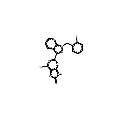 Nc1nc(-c2nn(Cc3ccccc3F)c3ncccc23)nc2[nH]c(=O)oc12